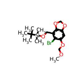 COCOc1cc2c(c(CO[Si](C)(C)C(C)(C)C)c1Br)OCO2